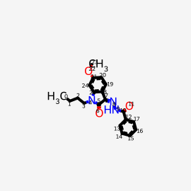 CCCCN1C(=O)C(=NNC(=O)c2ccccc2)c2ccc(OC)cc21